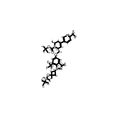 C[C@H]1CC(c2ccc(C(F)F)nc2)=C[C@@H](COc2cc(C(F)(F)F)c3c(c2)c(F)nn3C2CC(C)(O[Si](C)(C)C(C)(C)C)C2)N1C(=O)OC(C)(C)C